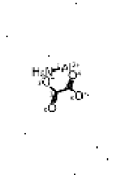 O=C([O-])C(=O)[O-].[NH2][Al+2]